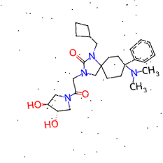 CN(C)C1(c2ccccc2)CCC2(CC1)CN(CC(=O)N1C[C@H](O)[C@@H](O)C1)C(=O)N2CC1CCC1